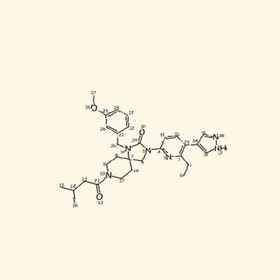 CCc1nc(N2CC3(CCN(C(=O)CC(C)C)CC3)N(Cc3cccc(OC)c3)C2=O)ccc1-c1cn[nH]c1